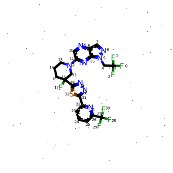 FC(F)(F)Cn1ncc2ncc(N3CCCC(F)(c4nnc(-c5cccc(C(F)(F)F)n5)s4)C3)nc21